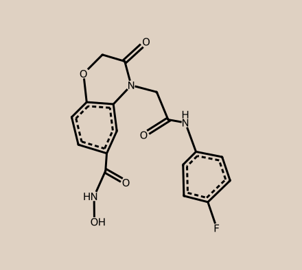 O=C(CN1C(=O)COc2ccc(C(=O)NO)cc21)Nc1ccc(F)cc1